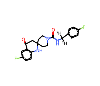 [2H]C([2H])(NC(=O)N1CCC2(CC1)CC(=O)c1cc(F)ccc1N2)c1ccc(F)cc1